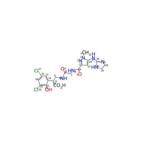 Cn1nc(C(=O)NCC(=O)NCC(C(=O)O)c2cc(Cl)cc(Cl)c2O)cc1NC1=NCCN1